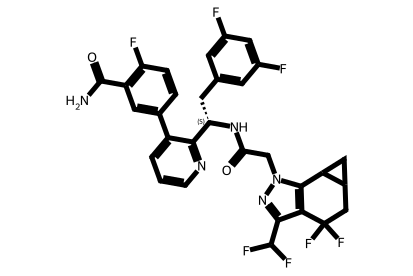 NC(=O)c1cc(-c2cccnc2[C@H](Cc2cc(F)cc(F)c2)NC(=O)Cn2nc(C(F)F)c3c2C2CC2CC3(F)F)ccc1F